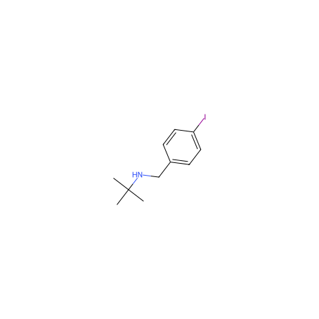 CC(C)(C)NCc1ccc(I)cc1